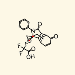 O=C(O)C(F)(F)F.O=C1C=CC2C3C(=O)N(c4ccccc4)C(=O)C3C1N2CC1CC1